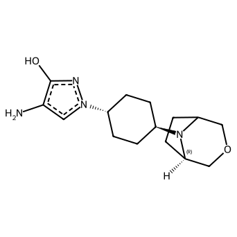 Nc1cn([C@H]2CC[C@H](N3C4CC[C@@H]3COC4)CC2)nc1O